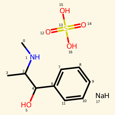 CNC(C)C(O)c1ccccc1.O=S(=O)(O)O.[NaH]